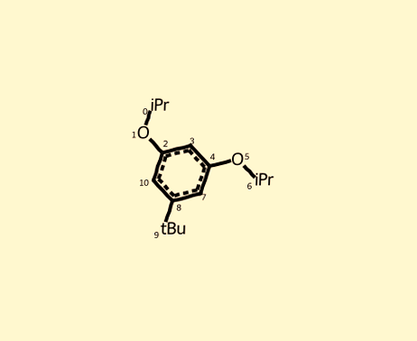 CC(C)Oc1[c]c(OC(C)C)cc(C(C)(C)C)c1